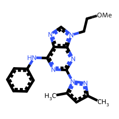 COCCn1cnc2c(Nc3ccccc3)nc(-n3nc(C)cc3C)nc21